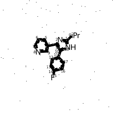 CC(C)c1nc(-c2cccnc2)c(-c2ccc(F)cc2)[nH]1